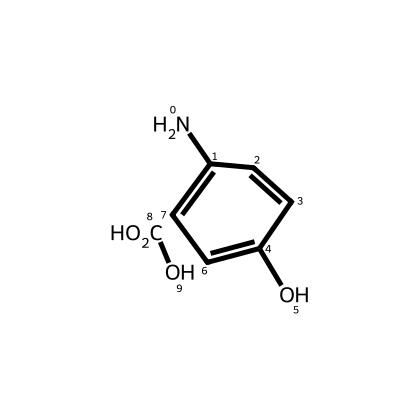 Nc1ccc(O)cc1.O=C(O)O